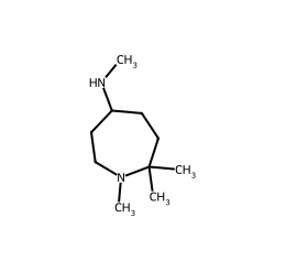 CNC1CCN(C)C(C)(C)CC1